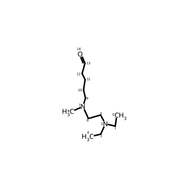 CCN(CC)CCN(C)CCCC[C]=O